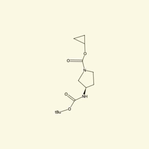 CC(C)(C)OC(=O)N[C@@H]1CCN(C(=O)OC2CC2)C1